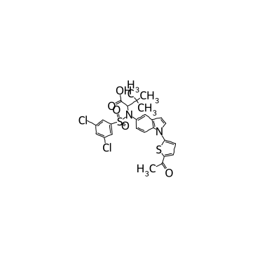 CC(=O)c1ccc(-n2ccc3cc(N(C(C(=O)O)C(C)(C)C)S(=O)(=O)c4cc(Cl)cc(Cl)c4)ccc32)s1